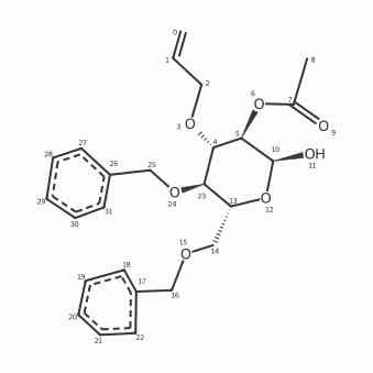 C=CCO[C@@H]1[C@@H](OC(C)=O)[C@@H](O)O[C@H](COCc2ccccc2)[C@H]1OCc1ccccc1